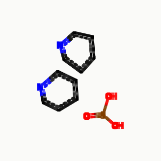 O=S(O)O.c1ccncc1.c1ccncc1